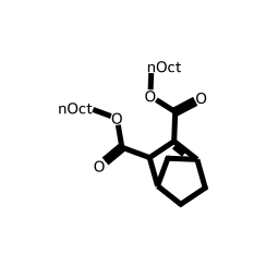 CCCCCCCCOC(=O)C1=C2CCC(C2)C1C(=O)OCCCCCCCC